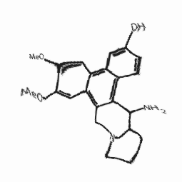 COc1cc2c3c(c4ccc(O)cc4c2cc1OC)C(N)C1CCCN1C3